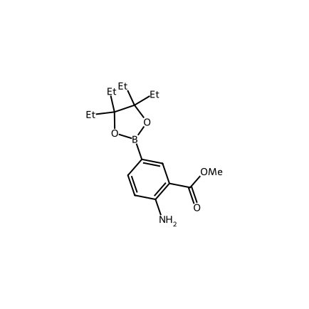 CCC1(CC)OB(c2ccc(N)c(C(=O)OC)c2)OC1(CC)CC